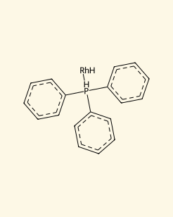 [RhH][PH](c1ccccc1)(c1ccccc1)c1ccccc1